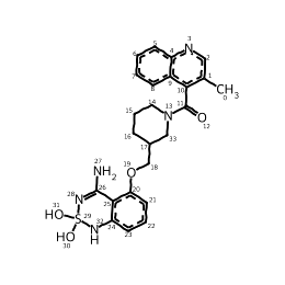 Cc1cnc2ccccc2c1C(=O)N1CCCC(COc2cccc3c2C(N)=NS(O)(O)N3)C1